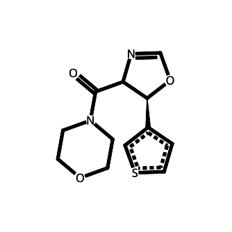 O=C(C1N=CO[C@H]1c1ccsc1)N1CCOCC1